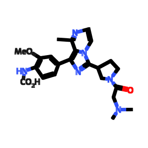 COc1cc(-c2nc(C3CCN(C(=O)CN(C)C)C3)n3ccnc(C)c23)ccc1NC(=O)O